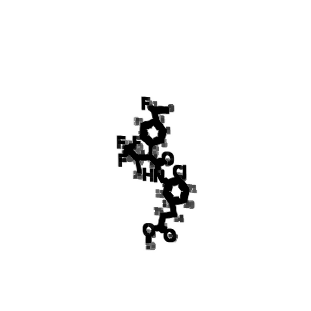 C=C(F)c1ccc([C@@H](C(=O)Nc2cc(CCC(=O)OC)ccc2Cl)[C@@H](C)C(F)(F)F)cc1